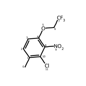 Cc1ccc(OCC(F)(F)F)c([N+](=O)[O-])c1Cl